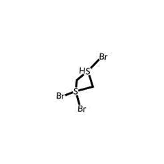 Br[SH]1CS(Br)(Br)C1